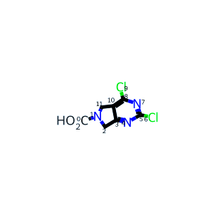 O=C(O)N1Cc2nc(Cl)nc(Cl)c2C1